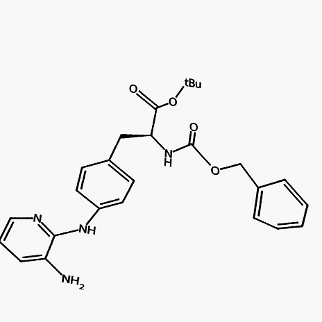 CC(C)(C)OC(=O)[C@H](Cc1ccc(Nc2ncccc2N)cc1)NC(=O)OCc1ccccc1